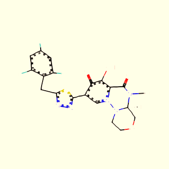 CCN1C(=O)c2c(O)c(=O)c(-c3nnc(Cc4c(F)cc(F)cc4F)s3)cn2N2CCOC[C@H]12